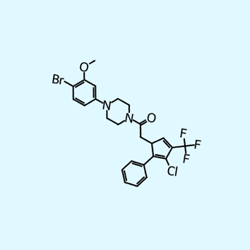 COc1cc(N2CCN(C(=O)CC3C=C(C(F)(F)F)C(Cl)=C3c3ccccc3)CC2)ccc1Br